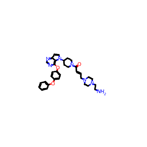 NCCN1CCN(CC=CC(=O)N2CCC(n3ccc4ncnc(Oc5ccc(Oc6ccccc6)cc5)c43)CC2)CC1